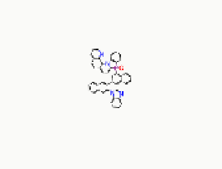 O=P(c1ccccc1)(c1ccc2ccc3cccnc3c2n1)c1cc2c3cc4ccccc4cc3n3c4ccccc4nc3c2c2ccccc12